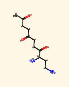 CCCC(=O)CCC(=O)CCC(=O)C(N)CCN